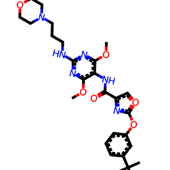 COc1nc(NCCCN2CCOCC2)nc(OC)c1NC(=O)c1coc(Oc2cccc(C(C)(C)C)c2)n1